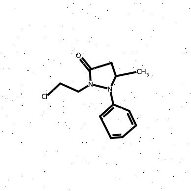 CC1CC(=O)N(CCCl)N1c1ccccc1